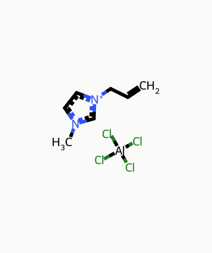 C=CC[n+]1ccn(C)c1.[Cl][Al-]([Cl])([Cl])[Cl]